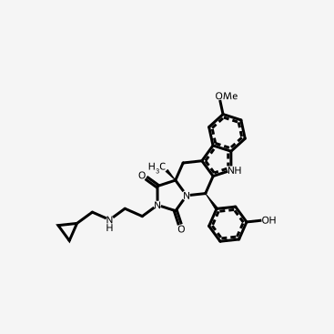 COc1ccc2[nH]c3c(c2c1)C[C@@]1(C)C(=O)N(CCNCC2CC2)C(=O)N1[C@@H]3c1cccc(O)c1